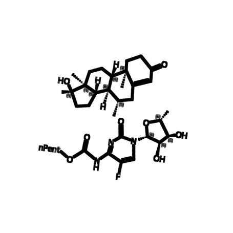 CCCCCOC(=O)Nc1nc(=O)n([C@@H]2O[C@H](C)[C@@H](O)[C@H]2O)cc1F.C[C@H]1CC2=CC(=O)CC[C@]2(C)[C@H]2CC[C@@]3(C)[C@@H](CC[C@]3(C)O)[C@H]12